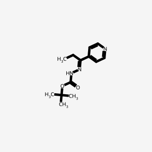 CCC(=NNC(=O)OC(C)(C)C)c1ccncc1